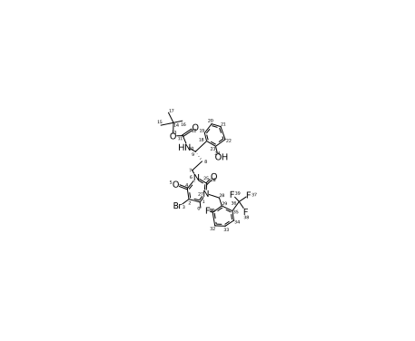 Cc1c(Br)c(=O)n(CC[C@H](NC(=O)OC(C)(C)C)c2ccccc2O)c(=O)n1Cc1c(F)cccc1C(F)(F)F